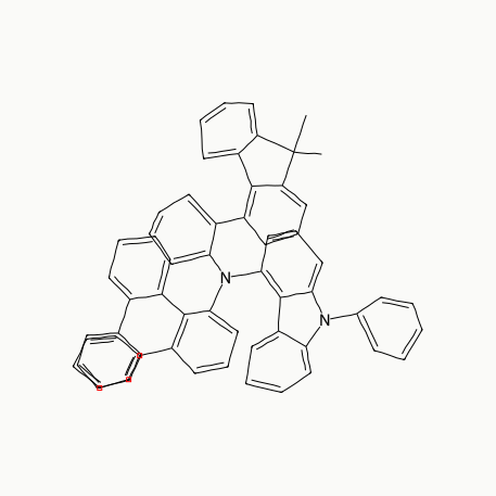 CC1(C)c2ccccc2-c2c(-c3ccccc3N(c3cccc(-c4ccccc4)c3-c3ccccc3-c3ccccc3)c3cccc4c3c3ccccc3n4-c3ccccc3)cccc21